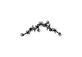 O=C(OC(=O)c1ccc2nc(Cc3cc(F)c(-c4cccc(OCc5ncc(C#CC6CCOC6)s5)n4)cc3F)n(C[C@@H]3CCO3)c2c1)c1ccc2nc(Cc3cc(F)c(-c4cccc(OCc5ncc(C#CC6CCOC6)s5)n4)cc3F)n(C[C@@H]3CCO3)c2c1